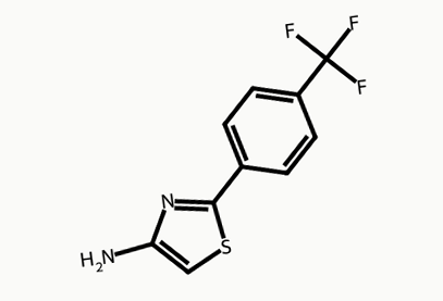 Nc1csc(-c2ccc(C(F)(F)F)cc2)n1